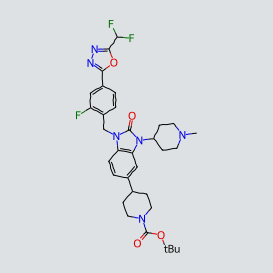 CN1CCC(n2c(=O)n(Cc3ccc(-c4nnc(C(F)F)o4)cc3F)c3ccc(C4CCN(C(=O)OC(C)(C)C)CC4)cc32)CC1